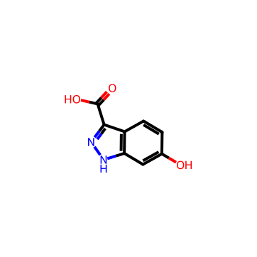 O=C(O)c1n[nH]c2cc(O)ccc12